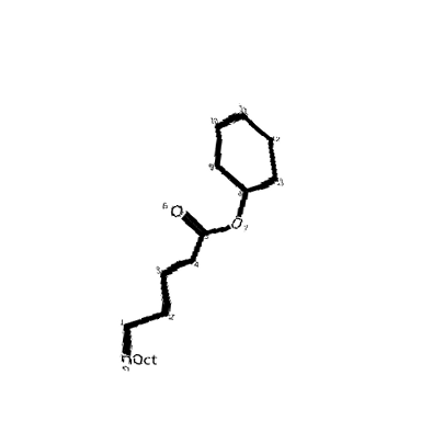 CCCCCCCCCCC[CH]C(=O)OC1CCCCC1